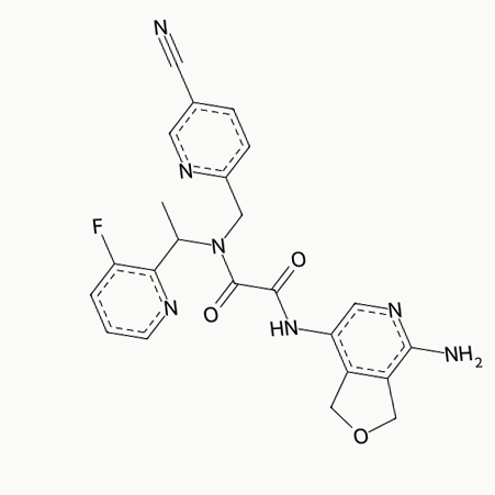 CC(c1ncccc1F)N(Cc1ccc(C#N)cn1)C(=O)C(=O)Nc1cnc(N)c2c1COC2